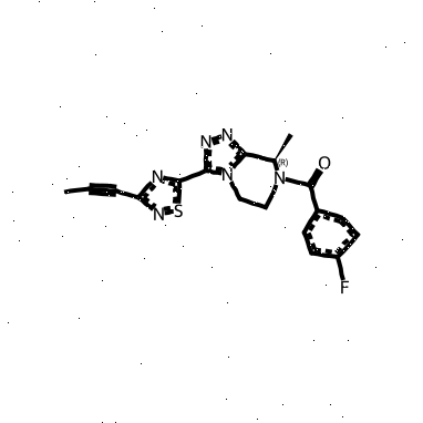 CC#Cc1nsc(-c2nnc3n2CCN(C(=O)c2ccc(F)cc2)[C@@H]3C)n1